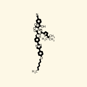 CCCCCCCOc1ccc(-c2cnc(-c3ccc(C[C@H](NC(=O)c4ccc(C(C)(C)C)s4)C(=O)NC(C(=O)O)C(O)c4ccc(C#N)cc4)cc3)nc2)cc1